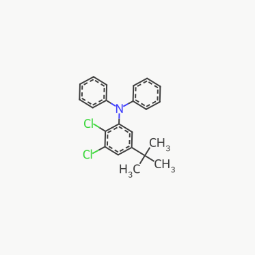 CC(C)(C)c1cc(Cl)c(Cl)c(N(c2ccccc2)c2ccccc2)c1